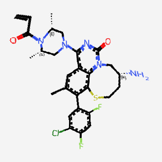 C=CC(=O)N1[C@H](C)CN(c2nc(=O)n3c4c(c(-c5cc(Cl)c(F)cc5F)c(C)cc24)SCC[C@@H](N)C3)C[C@@H]1C